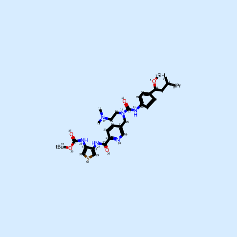 CC(C)C(C)CC(O[SiH3])c1ccc(NC(=O)N(CCN(C)C)Cc2ccc(C(=O)Nc3cscc3NC(=O)OC(C)(C)C)nc2)cc1